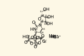 O=c1[nH]c(=O)n([C@@H]2O[C@H](CO)[C@@H](O)[C@H]2O)cc1OP(=O)([O-])OP(=O)([O-])OP(=O)([O-])O.[Na+].[Na+].[Na+]